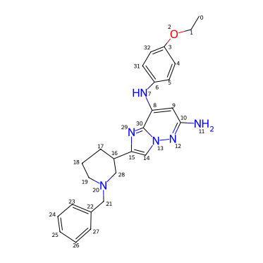 CCOc1ccc(Nc2cc(N)nn3cc(C4CCCN(Cc5ccccc5)C4)nc23)cc1